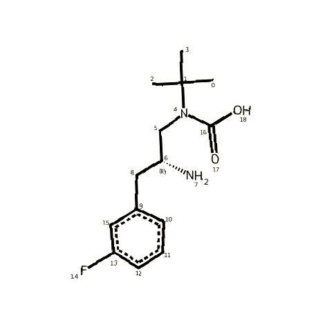 CC(C)(C)N(C[C@H](N)Cc1cccc(F)c1)C(=O)O